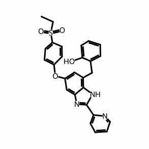 CCS(=O)(=O)c1ccc(Oc2cc(Cc3ccccc3O)c3[nH]c(-c4ccccn4)nc3c2)cc1